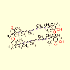 CC1=C(/C=C/C(C)=C/C=C/C(C)=C/C=C/C=C(C)/C=C/C=C(C)/C=C/C2=C(C)C(=O)CCC2(C)C)C(C)(C)C=C(O)C1=O.CC1=C(/C=C/C(C)=C/C=C/C(C)=C/C=C/C=C(C)/C=C/C=C(C)/C=C/C2=C(C)C(=O)CCC2(C)C)C(C)(C)C=C(O)C1=O